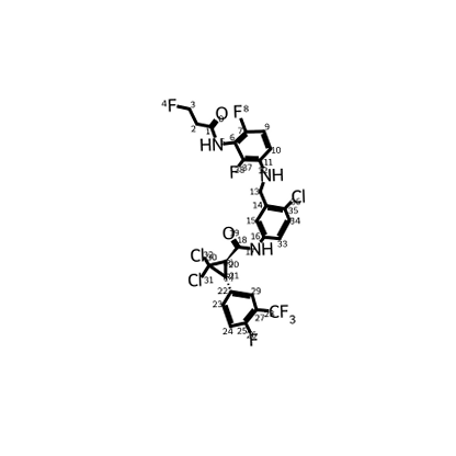 O=C(CCF)Nc1c(F)ccc(NCc2cc(NC(=O)[C@H]3[C@H](c4ccc(F)c(C(F)(F)F)c4)C3(Cl)Cl)ccc2Cl)c1F